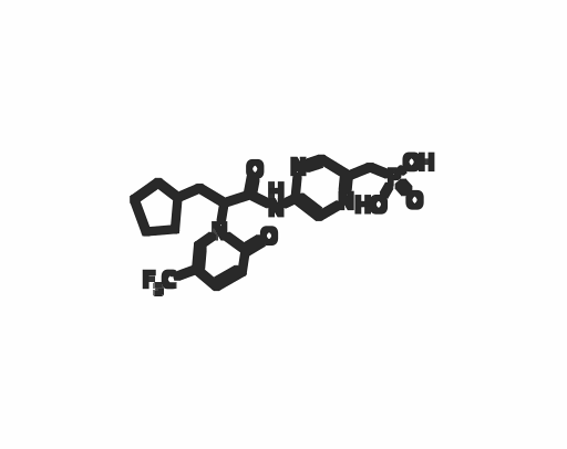 O=C(Nc1cnc(CP(=O)(O)O)cn1)C(CC1CCCC1)n1cc(C(F)(F)F)ccc1=O